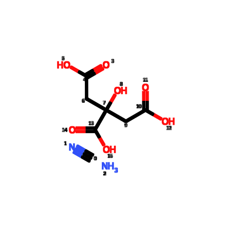 C#N.N.O=C(O)CC(O)(CC(=O)O)C(=O)O